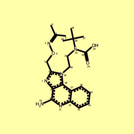 CC(C)=NOCc1nc2c(N)nc3ccccc3c2n1CCN(C(=O)O)C(C)(C)C